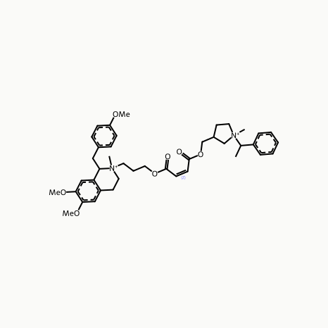 COc1ccc(CC2c3cc(OC)c(OC)cc3CC[N+]2(C)CCCOC(=O)/C=C\C(=O)OCC2CC[N+](C)(C(C)c3ccccc3)C2)cc1